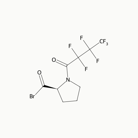 O=C(Br)[C@@H]1CCCN1C(=O)C(F)(F)C(F)(F)C(F)(F)F